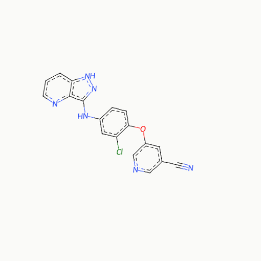 N#Cc1cncc(Oc2ccc(Nc3n[nH]c4cccnc34)cc2Cl)c1